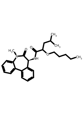 CCCCCOC(CC(C)C)C(=O)N[C@@H]1C(=O)N(C)c2ccccc2-c2ccccc21